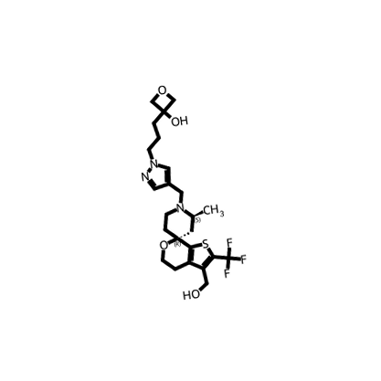 C[C@H]1C[C@@]2(CCN1Cc1cnn(CCCC3(O)COC3)c1)OCCc1c2sc(C(F)(F)F)c1CO